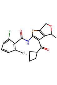 CC1OCc2sc(NC(=O)c3c(F)cccc3C(F)(F)F)c(C(=O)C3CCC3)c21